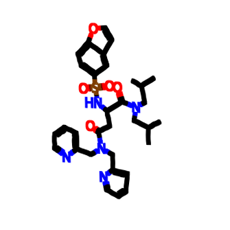 CC(C)CN(CC(C)C)C(=O)C(CC(=O)N(Cc1ccccn1)Cc1ccccn1)NS(=O)(=O)c1ccc2occc2c1